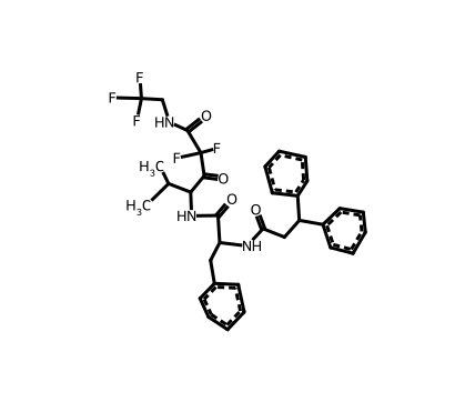 CC(C)C(NC(=O)C(Cc1ccccc1)NC(=O)CC(c1ccccc1)c1ccccc1)C(=O)C(F)(F)C(=O)NCC(F)(F)F